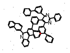 c1ccc(-c2cccc(-c3nc(-c4ccccc4)nc(-c4cccc(-c5ccccc5)c4)c3-c3cccc(-c4cc5c(-c6ccc7ccccc7c6)nc6ccccc6c5c5ccccc45)c3)c2)cc1